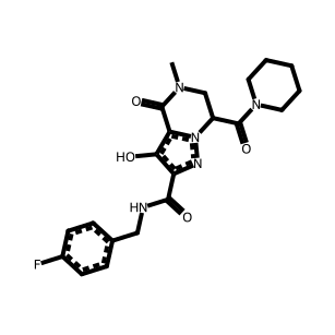 CN1CC(C(=O)N2CCCCC2)n2nc(C(=O)NCc3ccc(F)cc3)c(O)c2C1=O